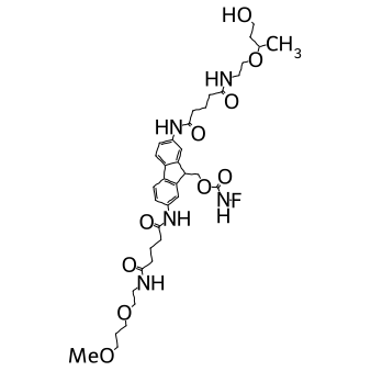 COCCCOCCNC(=O)CCCC(=O)Nc1ccc2c(c1)C(COC(=O)NF)c1cc(NC(=O)CCCC(=O)NCCOC(C)CCO)ccc1-2